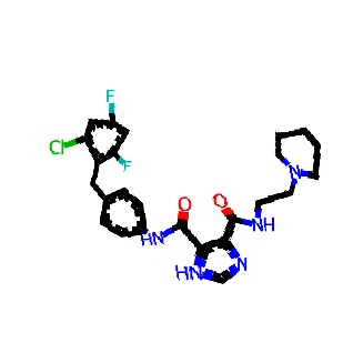 O=C(NCCN1CCCCC1)c1nc[nH]c1C(=O)Nc1ccc(Cc2c(F)cc(F)cc2Cl)cc1